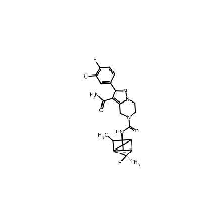 CC1C2(NC(=O)N3CCn4nc(-c5ccc(F)c(Cl)c5)c(C(N)=O)c4C3)C3C4C2C13[C@]4(C)F